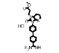 COC(=O)CCn1c(=O)n(-c2ccc(-c3ccc(C(=N)N)cc3)cc2)c2ncccc21.Cl